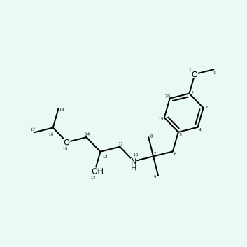 COc1ccc(CC(C)(C)NCC(O)COC(C)C)cc1